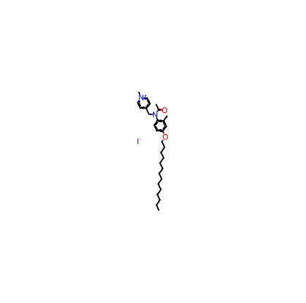 CCCCCCCCCCCCCCOc1ccc(N(Cc2cc[n+](C)cc2)C(C)=O)c(C)c1.[I-]